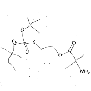 CCC(C)(C)OP(=O)(OC(C)(C)C)SCCOC(=O)C(C)(C)N